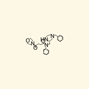 O=C(CCC(=O)N(C[C@@H]1CN(Cc2ccccc2)CCN1)c1ccccc1)N1CCOCC1